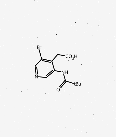 CC(C)(C)C(=O)Nc1cncc(Br)c1CC(=O)O